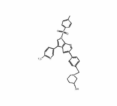 Cc1ccc(S(=O)(=O)n2cc(-c3ccc(C(F)(F)F)nc3)c3cc(-c4ccc(CN5CCCC(O)C5)cc4)cnc32)cc1